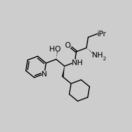 CC(C)C[C@H](N)C(=O)N[C@@H](CC1CCCCC1)[C@@H](O)c1ccccn1